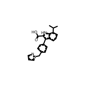 CC(C)c1cccc2c(-c3ccc(Cn4cccn4)cc3)c(C(=O)O)[nH]c12